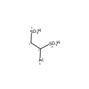 CC(=O)C(CS(=O)(=O)O)S(=O)(=O)O